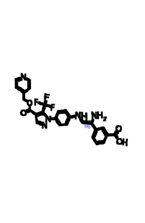 N/C(=C\Nc1ccc(-n2ncc(C(=O)OCc3ccncc3)c2C(F)(F)F)cc1)c1cccc(C(=O)O)c1